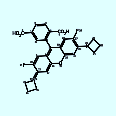 O=C(O)c1ccc(C(=O)O)c(-c2c3cc(F)c(=[N+]4CCC4)cc-3oc3cc(N4CCC4)c(F)cc23)c1